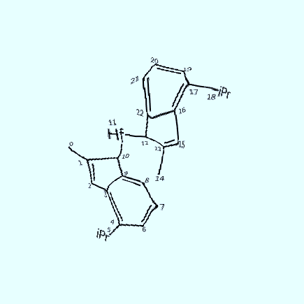 CC1=Cc2c(C(C)C)cccc2[CH]1[Hf][CH]1C(C)=Cc2c(C(C)C)cccc21